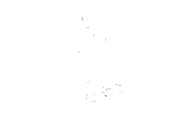 Cc1ccc(OC(=O)CCCCOC(=O)C(C)CC(C(=O)OC(C)C)C(C)C(=O)OC(C)C)c(-n2nc3ccccc3n2)c1